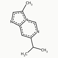 Cc1cnc2cc(C(C)C)ncn12